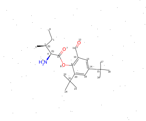 CC[C@H](C)[C@H](N)C(=O)Oc1c(C=O)cc(C(C)(C)C)cc1C(C)(C)C